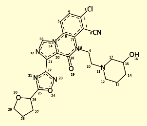 N#Cc1c(Cl)ccc2c1n(CCN1CCCC(O)C1)c(=O)c1c(-c3noc(C4CCCO4)n3)ncn12